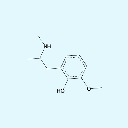 CNC(C)Cc1cccc(OC)c1O